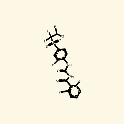 O=C(NC(=O)c1c(F)cccc1F)Nc1ccc(S(=O)(=O)C(F)(F)C(F)Cl)cc1F